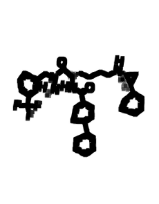 NN(Cc1cccc(C(F)(F)F)c1)C(=O)[C@H](CCCCN[C@@H]1C[C@H]1c1ccccc1)NC(=O)c1ccc(-c2ccccc2)cc1